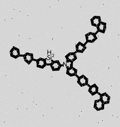 c1ccc(-c2ccc(-c3ccc4c(c3)[SiH2]c3cc(-n5c6ccc(-c7ccc(-c8ccc(-c9cccc%10ccccc9%10)cc8)cc7)cc6c6cc(-c7ccc(-c8ccc(-c9cccc%10ccccc9%10)cc8)cc7)ccc65)ccc3-4)cc2)cc1